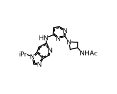 CC(=O)NC1CN(c2nccc(Nc3cc4c(cn3)ncn4C(C)C)n2)C1